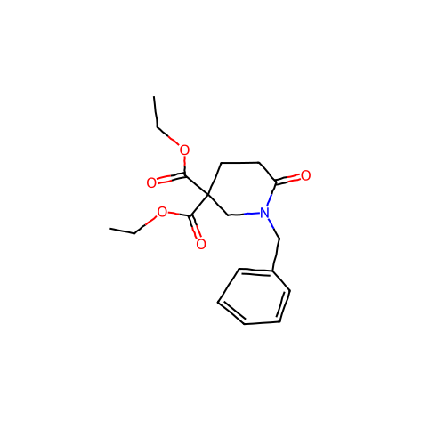 CCOC(=O)C1(C(=O)OCC)CCC(=O)N(Cc2ccccc2)C1